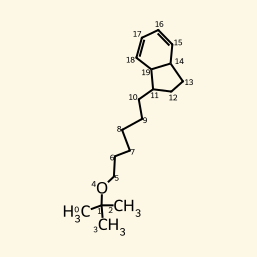 CC(C)(C)OCCCCCCC1CCC2C=CC=CC21